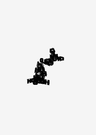 C[C@@H]1C[C@H]2[C@@H]3CC[C@H]4C[C@@](O)(OP(=O)(O)O)CC[C@]4(C)[C@H]3CC[C@]2(C)[C@H]1C(=O)CN1CCN(c2cc(N3CCCC3)nc(N3CCCC3)n2)CC1